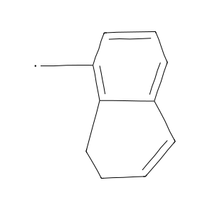 [CH2]c1cccc2c1CCC=C2